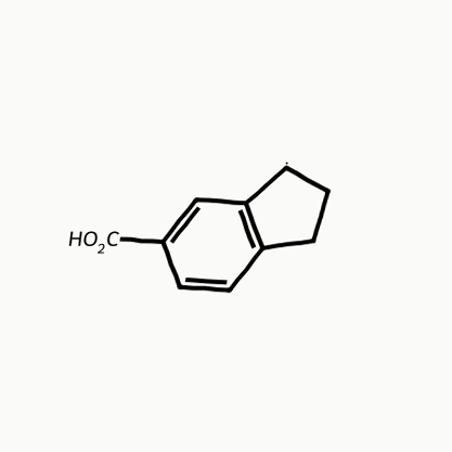 O=C(O)c1ccc2c(c1)[CH]CC2